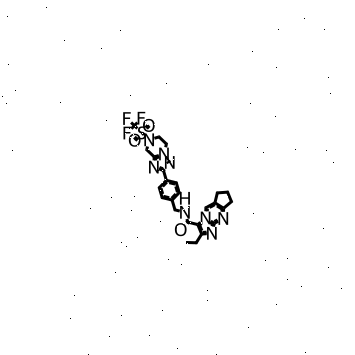 CCc1nc2nc3c(cn2c1C(=O)NCc1ccc(-c2nc4n(n2)CCN(S(=O)(=O)C(F)(F)F)C4)cc1)CCC3